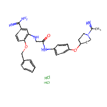 CC(=N)N1CCC(Oc2ccc(NC(=O)CNc3cc(C(=N)N)ccc3OCc3ccccc3)cc2)CC1.Cl.Cl